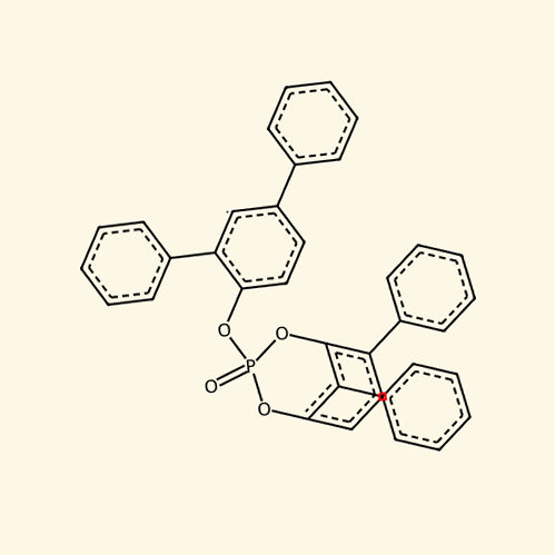 O=P1(Oc2ccc(-c3ccccc3)[c]c2-c2ccccc2)Oc2ccc(-c3ccccc3)c(c2-c2ccccc2)O1